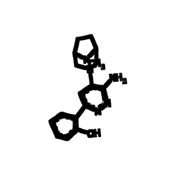 CN1C2CCC1CN(c1cc(-c3ccccc3O)nnc1N)C2